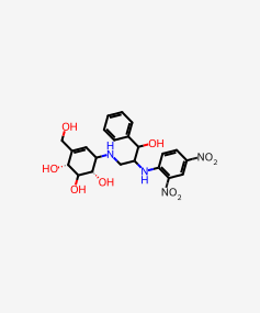 O=[N+]([O-])c1ccc(NC(CNC2C=C(CO)[C@@H](O)C(O)[C@H]2O)C(O)c2ccccc2)c([N+](=O)[O-])c1